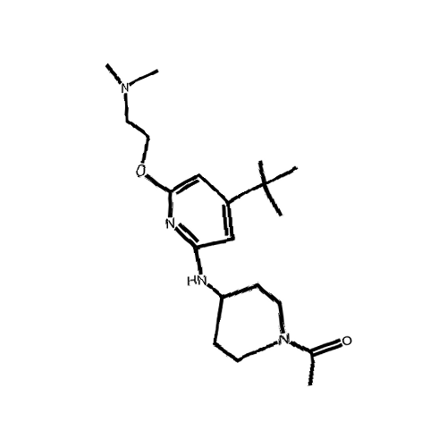 CC(=O)N1CCC(Nc2cc(C(C)(C)C)cc(OCCN(C)C)n2)CC1